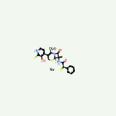 CC1(NC(=O)C(=S)c2ccccc2)C(=O)N2C(C(=O)[O-])=C(c3cc[nH]c(=S)c3O)CS[C@H]21.[Na+]